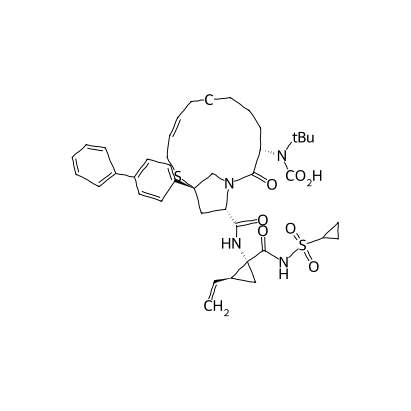 C=C[C@@H]1C[C@]1(NC(=O)[C@@H]1C[C@@]2(c3ccc(-c4ccccc4)cc3)CN1C(=O)[C@@H](N(C(=O)O)C(C)(C)C)CCCCC/C=C\CS2)C(=O)NS(=O)(=O)C1CC1